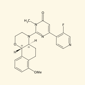 COc1cccc2c1CC[C@H]1[C@H]2OCCN1c1nc(-c2ccncc2F)cc(=O)n1C